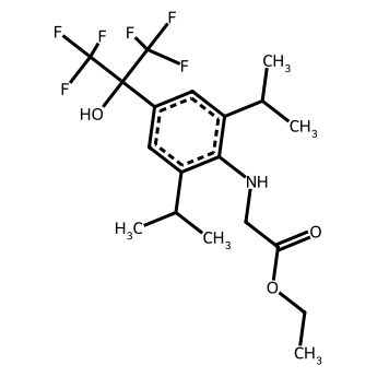 CCOC(=O)CNc1c(C(C)C)cc(C(O)(C(F)(F)F)C(F)(F)F)cc1C(C)C